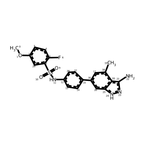 COc1ccc(F)c(S(=O)(=O)Nc2ccc(-c3cc(C)c4c(N)n[nH]c4c3)cc2)c1